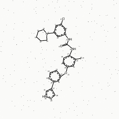 O=C(Nc1cc(Cl)cc(N2CCCCC2)c1)Nc1ccc(Oc2ccnc(-c3cn[nH]c3)c2)cc1F